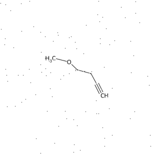 C#CC[CH]OC